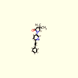 CC1(C)CC(=O)N(c2ccc(C#Cc3ccccc3)nc2)C1